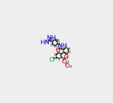 COCOC(=O)c1cc(Cl)ccc1-c1ccccc1C(=O)Nc1ccc(C(=N)N)cc1